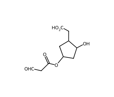 O=CCC(=O)OC1CC(O)C(CC(=O)O)C1